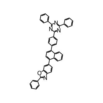 c1ccc(-c2nc(-c3ccccc3)nc(-c3ccc(-c4ccc(-c5ccc6nc(-c7ccccc7)oc6c5)c5ccccc45)cc3)n2)cc1